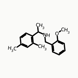 COc1ccccc1CNC(C)c1ccc(C)cc1C